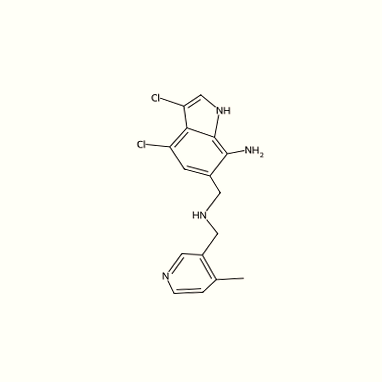 Cc1ccncc1CNCc1cc(Cl)c2c(Cl)c[nH]c2c1N